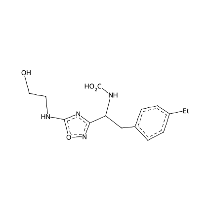 CCc1ccc(CC(NC(=O)O)c2noc(NCCO)n2)cc1